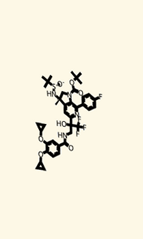 CC(C)(C)OC(=O)N1C[C@@](C)(N[S+]([O-])C(C)(C)C)c2cc(C(O)(CNC(=O)c3ccc(OC4CC4)c(OC4CC4)c3)C(F)(F)F)nc(-c3ccc(F)cc3)c21